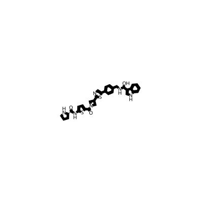 O=C(Nc1ccc(C(=O)N2CC(c3ncc(-c4ccc(CNC(O)c5c[nH]c6ccccc56)cc4)s3)C2)s1)[C@@H]1CCCN1